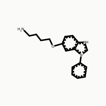 NCCCCOc1ccc2[nH]c[n+](-c3ccccc3)c2c1